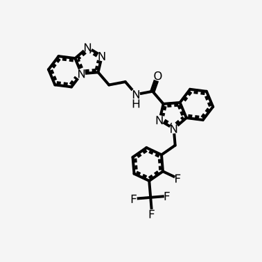 O=C(NCCc1nnc2ccccn12)c1nn(Cc2cccc(C(F)(F)F)c2F)c2ccccc12